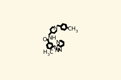 Cc1ccc(CN2CCC(CNC(=O)c3ccc(C)c(-n4nnc5cccnc54)c3)CC2)cc1